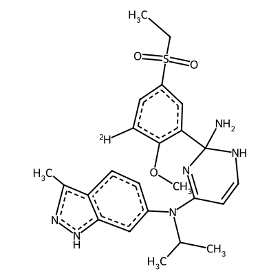 [2H]c1cc(S(=O)(=O)CC)cc(C2(N)N=C(N(c3ccc4c(C)n[nH]c4c3)C(C)C)C=CN2)c1OC